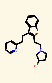 OC1CCN(CCc2sc3ccccc3c2CCc2ccccn2)C1